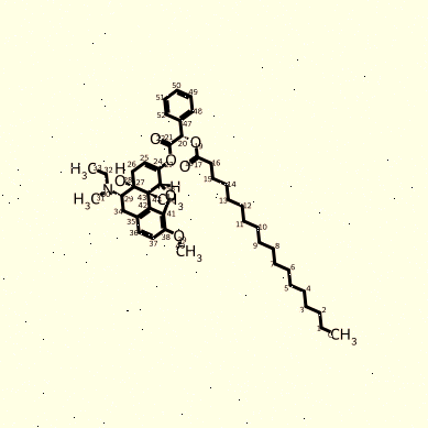 CCCCCCCCCCCCCCCCCC(=O)O[C@H](C(=O)OC1=CC[C@@]2(O)[C@H](N(C)CC)Cc3ccc(OC)c4c3[C@@]2(C)[C@H]1O4)c1ccccc1